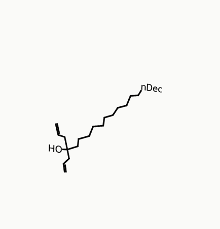 C=CCC(O)(CC=C)CCCCCCCCCCCCCCCCCCCCC